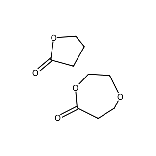 O=C1CCCO1.O=C1CCOCCO1